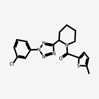 Cc1ccc(C(=O)N2CCCCC2c2nnn(-c3cccc(Cl)c3)n2)s1